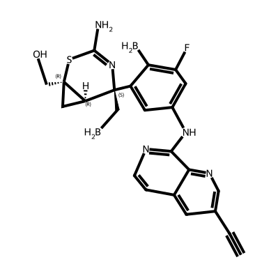 BC[C@]1(c2cc(Nc3nccc4cc(C#C)cnc34)cc(F)c2B)N=C(N)S[C@]2(CO)C[C@@H]21